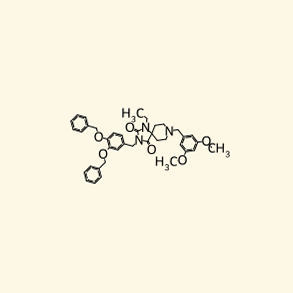 CCN1C(=O)N(Cc2ccc(OCc3ccccc3)c(OCc3ccccc3)c2)C(=O)C12CCN(Cc1cc(OC)cc(OC)c1)CC2